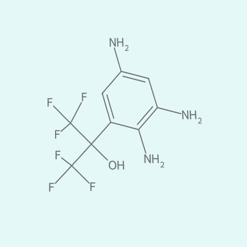 Nc1cc(N)c(N)c(C(O)(C(F)(F)F)C(F)(F)F)c1